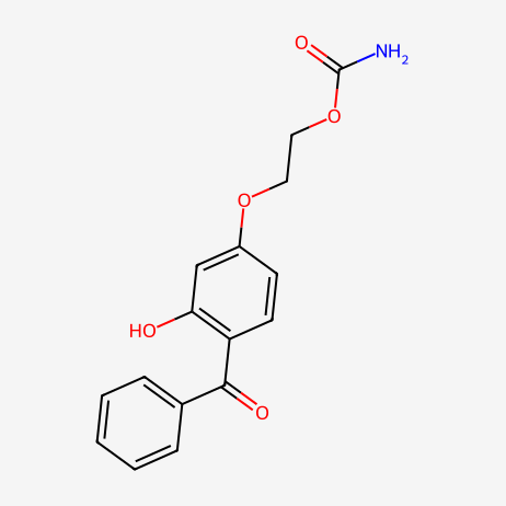 NC(=O)OCCOc1ccc(C(=O)c2ccccc2)c(O)c1